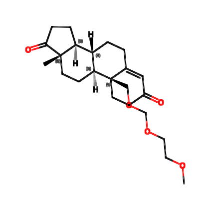 COCCOCOC[C@]12CCC(=O)C=C1CC[C@@H]1[C@@H]2CC[C@]2(C)C(=O)CC[C@@H]12